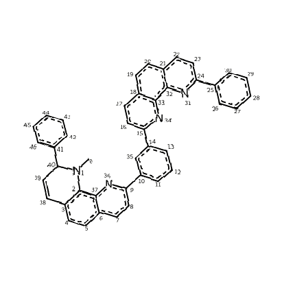 CN1c2c(ccc3ccc(-c4cccc(-c5ccc6ccc7ccc(-c8ccccc8)nc7c6n5)c4)nc23)C=CC1c1ccccc1